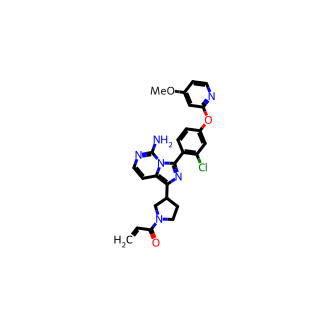 C=CC(=O)N1CCC(c2nc(-c3ccc(Oc4cc(OC)ccn4)cc3Cl)n3c(N)nccc23)C1